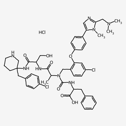 CC(C(=O)NC(CO)C(=O)NC1(Cc2ccc(Cl)cc2)CCCNC1)N(Cc1ccc(Cl)cc1Oc1ccc(-c2cnc(CN(C)C)n2C)cc1)C(=O)NC(Cc1ccccc1)C(=O)O.Cl